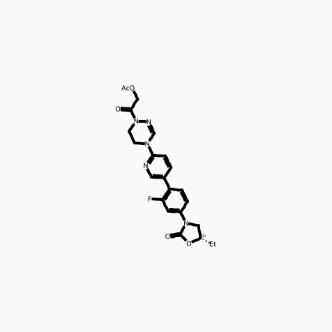 CC[C@H]1CN(c2ccc(-c3ccc(N4C=NN(C(=O)COC(C)=O)CC4)nc3)c(F)c2)C(=O)O1